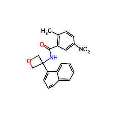 Cc1ccc([N+](=O)[O-])cc1C(=O)NC1(c2cccc3ccccc23)COC1